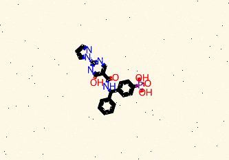 O=C(NC(c1ccccc1)c1ccc(P(=O)(O)O)cc1)c1cnc(-n2cccn2)nc1O